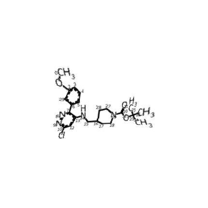 COc1cccc(-c2nnc(Cl)cc2NCC2CCN(C(=O)OC(C)(C)C)CC2)c1